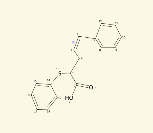 O=C(O)C(C/C=C\c1ccccc1)Sc1ccccc1